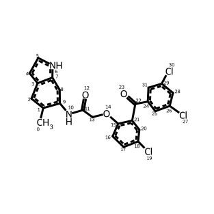 Cc1cc2cc[nH]c2cc1NC(=O)COc1ccc(Cl)cc1C(=O)c1cc(Cl)cc(Cl)c1